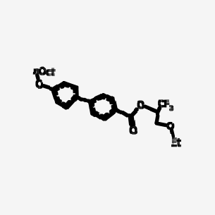 CCCCCCCCOc1ccc(-c2ccc(C(=O)OC(COCC)C(F)(F)F)cc2)cc1